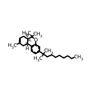 CCCCCCCCC(C)(C)c1ccc2c(c1)OC(C)(C)[C@@H]1CC=C(C)C[C@@H]21